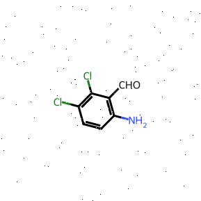 Nc1ccc(Cl)c(Cl)c1C=O